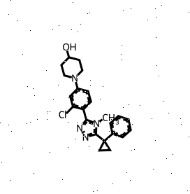 Cn1c(-c2ccc(N3CCC(O)CC3)cc2Cl)nnc1C1(c2ccccc2)CC1